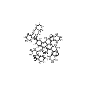 c1ccc2cc3c(cc2c1)c1ccccc1n3-c1ccc(-c2nc(-c3cccc4oc5ccccc5c34)nc(-c3cccc4oc5ccccc5c34)n2)c(-c2ccc3c(c2)oc2ccccc23)c1